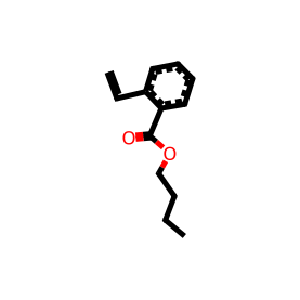 C=Cc1ccccc1C(=O)OCCCC